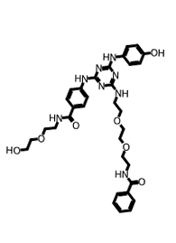 O=C(NCCOCCO)c1ccc(Nc2nc(NCCOCCOCCNC(=O)c3ccccc3)nc(Nc3ccc(O)cc3)n2)cc1